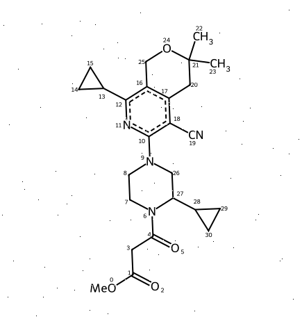 COC(=O)CC(=O)N1CCN(c2nc(C3CC3)c3c(c2C#N)CC(C)(C)OC3)CC1C1CC1